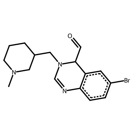 CN1CCCC(CN2C=Nc3ccc(Br)cc3C2C=O)C1